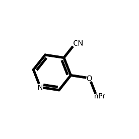 CCCOc1cnccc1C#N